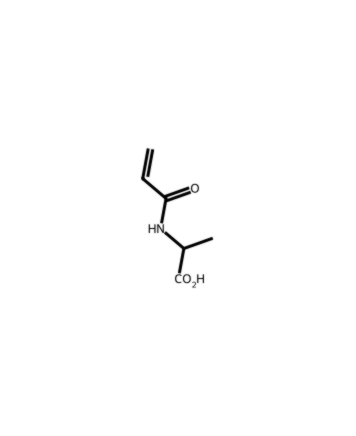 C=CC(=O)NC(C)C(=O)O